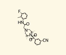 Cc1c(F)cccc1NC(=O)CN1C[C@@H](C)N(S(=O)(=O)c2cccc(C#N)c2)[C@@H](C)C1